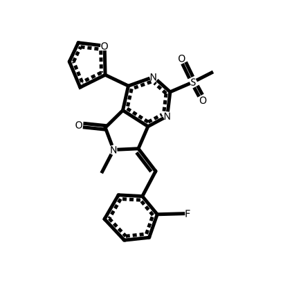 CN1C(=O)c2c(nc(S(C)(=O)=O)nc2-c2ccco2)/C1=C/c1ccccc1F